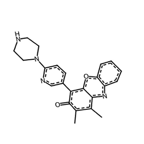 Cc1c2nc3ccccc3oc-2c(-c2ccc(N3CCNCC3)nc2)c(=O)c1C